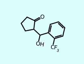 O=C1CCCC1C(O)c1ccccc1C(F)(F)F